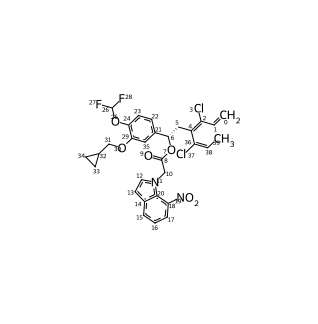 C=C/C(Cl)=C(C[C@H](OC(=O)Cn1ccc2cccc([N+](=O)[O-])c21)c1ccc(OC(F)F)c(OCC2CC2)c1)\C(Cl)=C/C